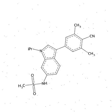 Cc1cc(-c2cn(C(C)C)c3cc(NS(C)(=O)=O)ccc23)cc(C)c1C#N